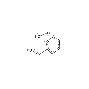 C=Cc1ccccc1.CC(C)O